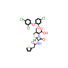 O=C(Cc1cccs1)N[C@@H]1C(=O)N2C(C(=O)O)=C(COc3cc(Cl)ccc3Oc3ccc(Cl)cc3Cl)CS[C@H]12